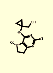 [O-][S@+]1CCc2nc(Cl)nc(NC3(CO)CC3)c21